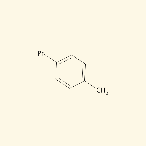 [CH2]c1ccc(C(C)C)cc1